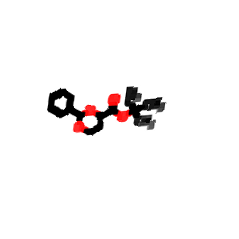 CC(C)(C)OC(=O)C1CCOC(c2ccccc2)O1